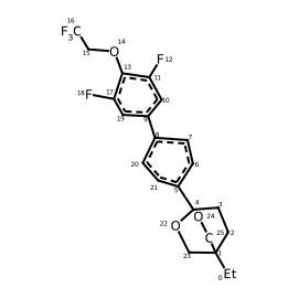 CCC12CCC(c3ccc(-c4cc(F)c(OCC(F)(F)F)c(F)c4)cc3)(OC1)OC2